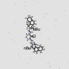 CCCCN1/C(=C/C=C2\CCCC(/C=C/C3=[N+](CCCC)c4ccc5ccccc5c4C3(C)C)=C2Cl)C(C)(C)c2c1ccc1ccccc21